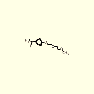 COCCOCCOc1ccc(C(C)I)cc1